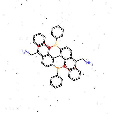 NCc1cccc2c(-c3c(P(Oc4ccccc4)c4ccccc4)ccc4c(CN)cccc34)c(P(Oc3ccccc3)c3ccccc3)ccc12